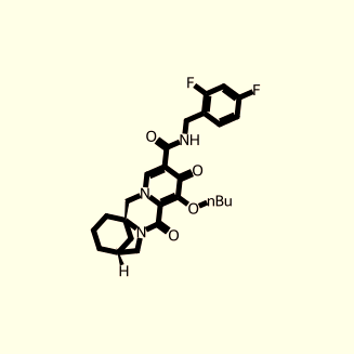 CCCCOc1c2n(cc(C(=O)NCc3ccc(F)cc3F)c1=O)C[C@@]13CCC[C@@H](CN1C2=O)C3